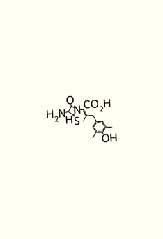 Cc1cc(CC2=C(C(=O)O)N3C(=O)C(N)[C@H]3SC2)cc(C)c1O